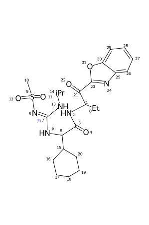 CCC(NC(=O)C(N/C(=N/S(C)(=O)=O)NC(C)C)C1CCCCC1)C(=O)c1nc2ccccc2o1